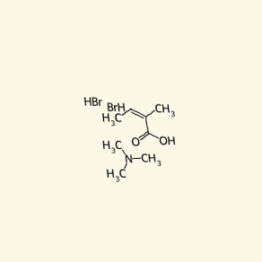 Br.Br.CC=C(C)C(=O)O.CN(C)C